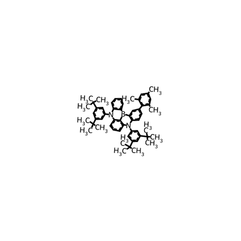 Cc1cc(C)c(-c2ccc3c(c2)B2c4ccccc4N(c4cc(C(C)(C)C)cc(C(C)(C)C)c4)c4cccc(c42)N3c2cc(C(C)(C)C)cc(C(C)(C)C)c2)c(C)c1